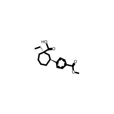 CC[C@@]1(C(=O)O)CCCC[C@H](c2ccc(C(=O)OC)cc2)C1